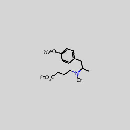 CCOC(=O)CCCN(CC)C(C)Cc1ccc(OC)cc1